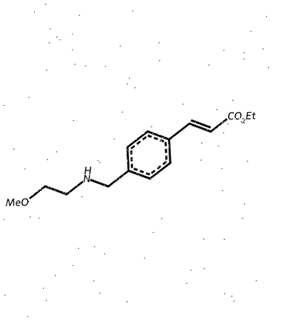 CCOC(=O)/C=C/c1ccc(CNCCOC)cc1